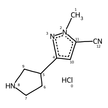 Cl.Cn1nc(C2CCNC2)cc1C#N